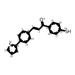 O=C(/C=C/c1ccc(-c2cccs2)cc1)c1ccc(S)cc1